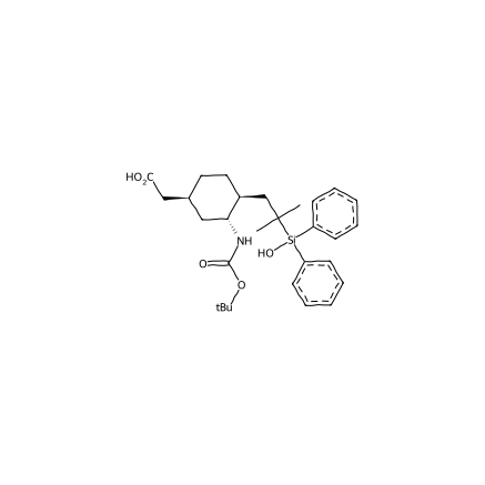 CC(C)(C)OC(=O)N[C@@H]1C[C@@H](CC(=O)O)CC[C@H]1CC(C)(C)[Si](O)(c1ccccc1)c1ccccc1